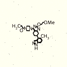 C=CC(=O)N1CCN(c2nc(OCCOC)nc3c2CCC(c2c(C)ccc4[nH]ncc24)C3)CC1